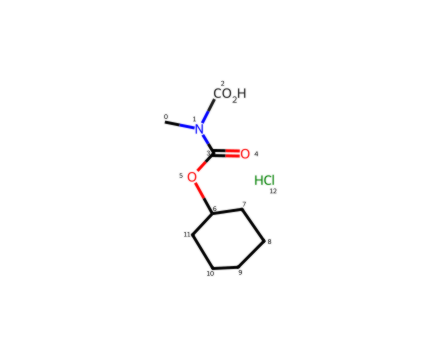 CN(C(=O)O)C(=O)OC1CCCCC1.Cl